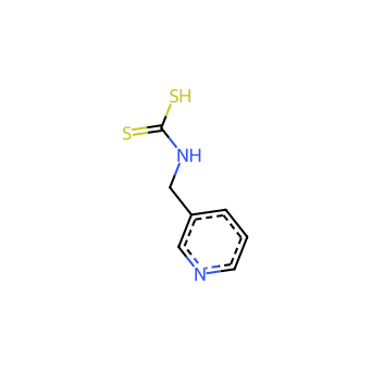 S=C(S)NCc1cccnc1